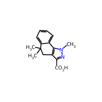 Cn1nc(C(=O)O)c2c1-c1ccccc1C(C)(C)C2